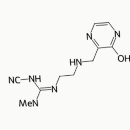 CNC(=NCCNCc1nccnc1O)NC#N